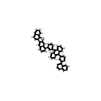 c1cc(-c2cccc3ccccc23)cc(-c2c3ccccc3c(-c3cccc(-c4cccc5cc6c(cc45)oc4c5ccccc5ccc64)c3)c3ccccc23)c1